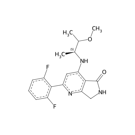 COC(C)[C@H](C)Nc1cc(-c2c(F)cccc2F)nc2c1C(=O)NC2